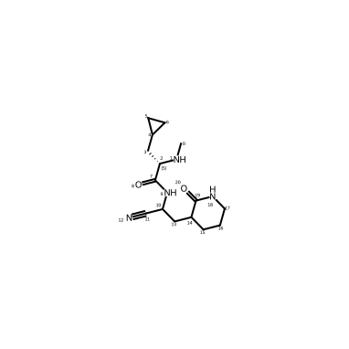 CN[C@@H](CC1CC1)C(=O)NC(C#N)CC1CCCNC1=O